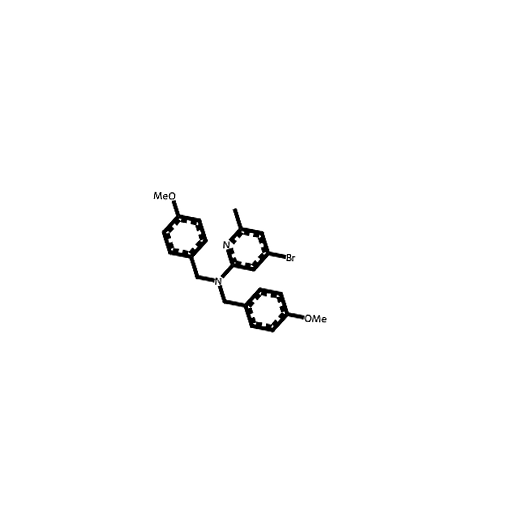 COc1ccc(CN(Cc2ccc(OC)cc2)c2cc(Br)cc(C)n2)cc1